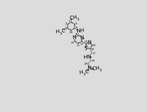 Cc1cc(C)cc(Nc2nccc(-c3ncc(CNCCN(C)C)s3)n2)c1